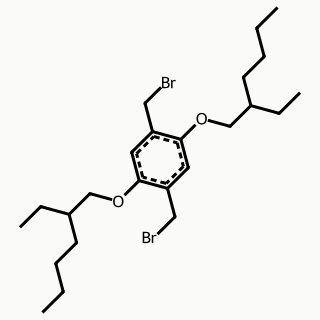 CCCCC(CC)COc1cc(CBr)c(OCC(CC)CCCC)cc1CBr